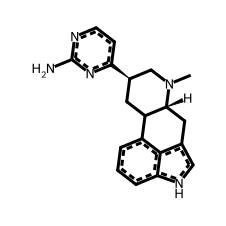 CN1C[C@H](c2ccnc(N)n2)CC2c3cccc4[nH]cc(c34)C[C@H]21